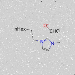 CCCCCCCC[n+]1ccn(C)c1.O=C[O-]